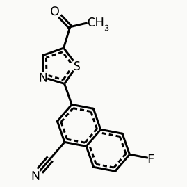 CC(=O)c1cnc(-c2cc(C#N)c3ccc(F)cc3c2)s1